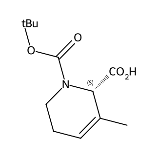 CC1=CCCN(C(=O)OC(C)(C)C)[C@@H]1C(=O)O